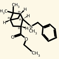 CCOC(=O)[C@@H]1C[C@H]2C[C@@H]([C@H]1N(C)Cc1ccccc1)C2(C)C